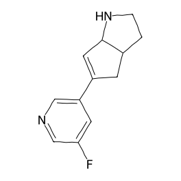 Fc1cncc(C2=CC3NCCC3C2)c1